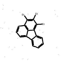 CCc1c(CC)c2c3c(cccc3c1CC)-c1ccccc1-2